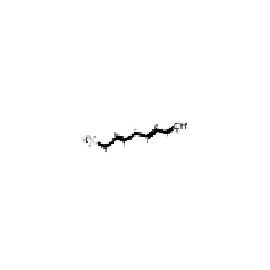 [CH]=CC=CCC=CCC